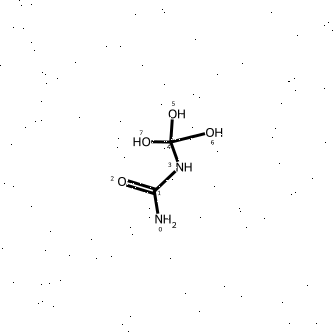 NC(=O)NC(O)(O)O